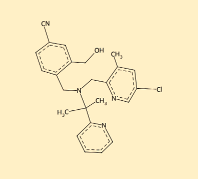 Cc1cc(Cl)cnc1CN(Cc1ccc(C#N)cc1CO)C(C)(C)c1ccccn1